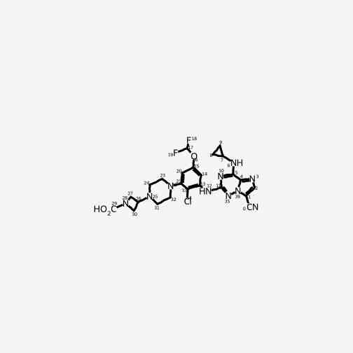 N#Cc1cnc2c(NC3CC3)nc(Nc3cc(OC(F)F)cc(N4CCN(C5CN(C(=O)O)C5)CC4)c3Cl)nn12